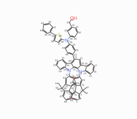 CC1(C)c2ccccc2-c2ccc(-n3c4ccccc4c4cc(-c5ccc(N(c6cccc(CO)c6)c6ccc(-c7ccccc7)s6)cc5)c5c6ccccc6n(-c6ccc7c(c6)C(C)(C)c6ccccc6-7)c5c43)cc21